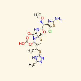 CON=C(C(=O)NC1C(=O)N2C(OC(=O)O)=C(C(C)Sc3nnc(C)[nH]3)CS[C@@H]12)c1nc(N)sc1Cl